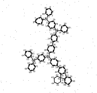 c1ccc(N(c2ccccc2)c2ccc(N(c3ccccc3)c3ccc(-c4ccc(N(c5ccc(-c6ccc7c(c6)C6(CCCCC6)c6ccccc6-7)cc5)c5ccc(N(c6ccccc6)c6ccccc6)cc5)cc4)cc3)cc2)cc1